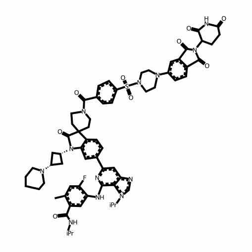 Cc1cc(F)c(Nc2nc(-c3ccc4c(c3)N([C@H]3C[C@@H](N5CCCCC5)C3)C(=O)C43CCN(C(=O)c4ccc(S(=O)(=O)N5CCN(c6ccc7c(c6)C(=O)N(C6CCC(=O)NC6=O)C7=O)CC5)cc4)CC3)cc3ncn(C(C)C)c23)cc1C(=O)NC(C)C